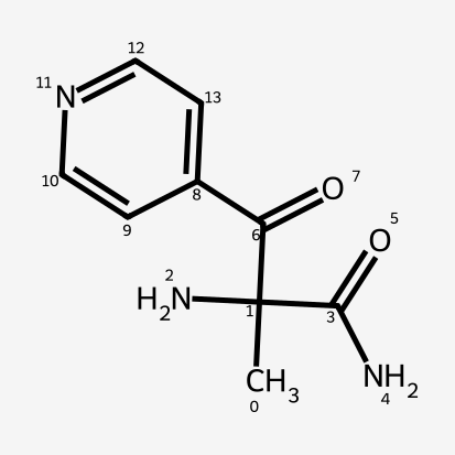 CC(N)(C(N)=O)C(=O)c1ccncc1